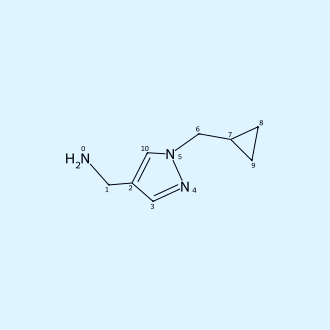 NCc1cnn(CC2CC2)c1